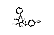 CCCCC(O)(C(=O)Nc1ccccc1)C(=O)Nc1ccc(O)cc1